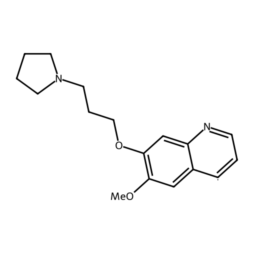 COc1cc2[c]ccnc2cc1OCCCN1CCCC1